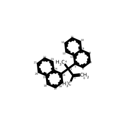 C=C(C)C(C)(c1cccc2ccccc12)c1cccc2ccccc12